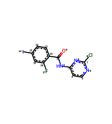 O=C(Nc1ccnc(Cl)n1)c1ccc(I)cc1F